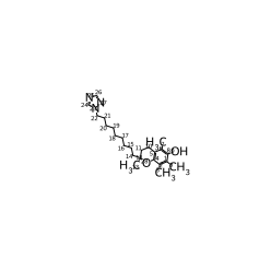 Cc1c(C)c2c(c(C)c1O)CCC(C)(CCCCCCCCCn1cncn1)O2